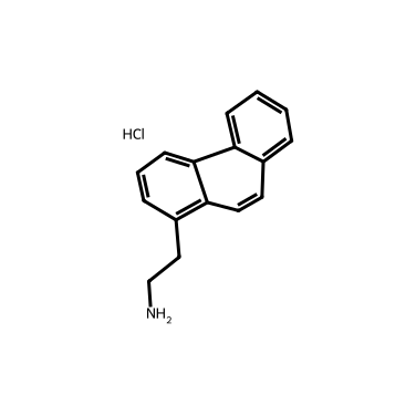 Cl.NCCc1cccc2c1ccc1ccccc12